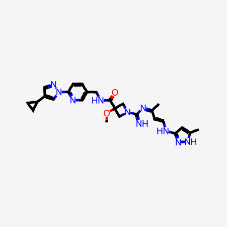 COC1(C(=O)NCc2ccc(-n3cc(C4CC4)cn3)nc2)CN(C(=N)/N=C(C)\C=C\Nc2cc(C)[nH]n2)C1